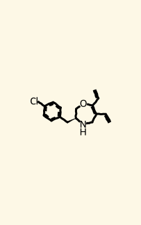 C=CC1=C(C=C)OC[C@H](Cc2ccc(Cl)cc2)NC1